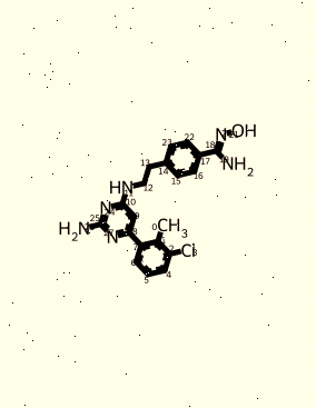 Cc1c(Cl)cccc1-c1cc(NCCc2ccc(/C(N)=N/O)cc2)nc(N)n1